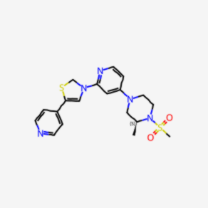 C[C@H]1CN(c2ccnc(N3C=C(c4ccncc4)SC3)c2)CCN1S(C)(=O)=O